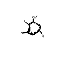 Oc1cc(Cl)cc(F)c1F